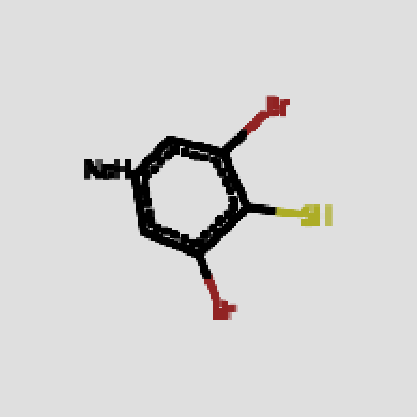 Sc1c(Br)cccc1Br.[NaH]